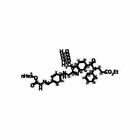 CCCCCCOC(=O)NN=Cc1ccc(NCc2nc3cc(C(=O)N(CCC(=O)OCC)c4ccccn4)ccc3n2C)cc1.O.O.O.O